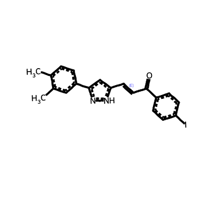 Cc1ccc(-c2cc(/C=C/C(=O)c3ccc(I)cc3)[nH]n2)cc1C